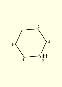 [CH]1CC[SiH]CC1